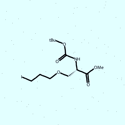 COC(=O)[C@H](COCCCI)NC(=O)OC(C)(C)C